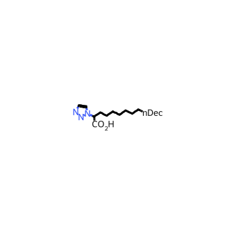 CCCCCCCCCCCCCCCCCC(C(=O)O)n1ccnn1